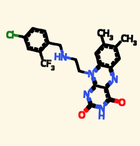 Cc1cc2nc3c(=O)[nH]c(=O)nc-3n(CCNCc3ccc(Cl)cc3C(F)(F)F)c2cc1C